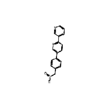 O=[SH](=O)Cc1ccc(-c2ccc(-c3cccnc3)nc2)cc1